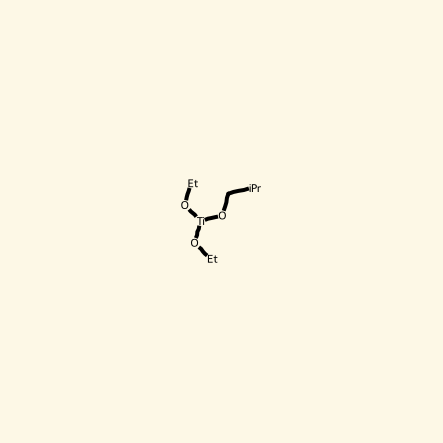 CC[O][Ti]([O]CC)[O]CC(C)C